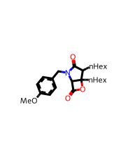 CCCCCCC1C(=O)N(Cc2ccc(OC)cc2)C2C(=O)OC12CCCCCC